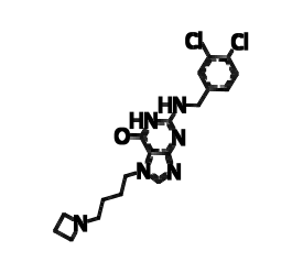 O=c1[nH]c(NCc2ccc(Cl)c(Cl)c2)nc2ncn(CCCCN3CCC3)c12